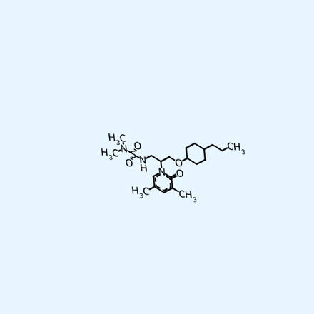 CCCC1CCC(OCC(CNS(=O)(=O)N(C)C)n2cc(C)cc(C)c2=O)CC1